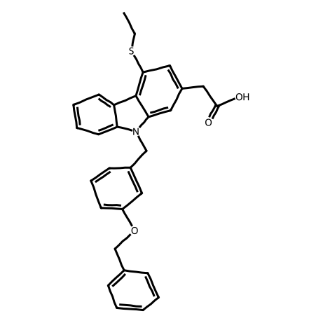 CCSc1cc(CC(=O)O)cc2c1c1ccccc1n2Cc1cccc(OCc2ccccc2)c1